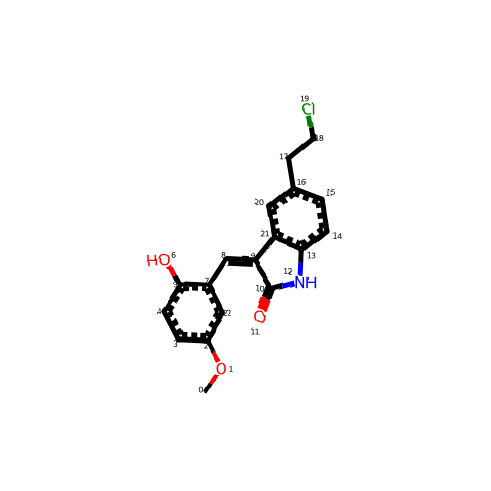 COc1ccc(O)c(C=C2C(=O)Nc3ccc(CCCl)cc32)c1